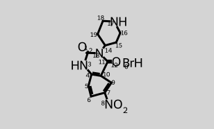 Br.O=c1[nH]c2ccc([N+](=O)[O-])cc2c(=O)n1C1CCNCC1